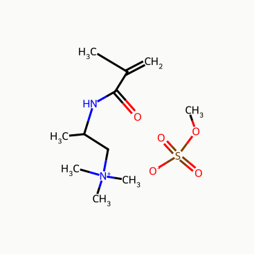 C=C(C)C(=O)NC(C)C[N+](C)(C)C.COS(=O)(=O)[O-]